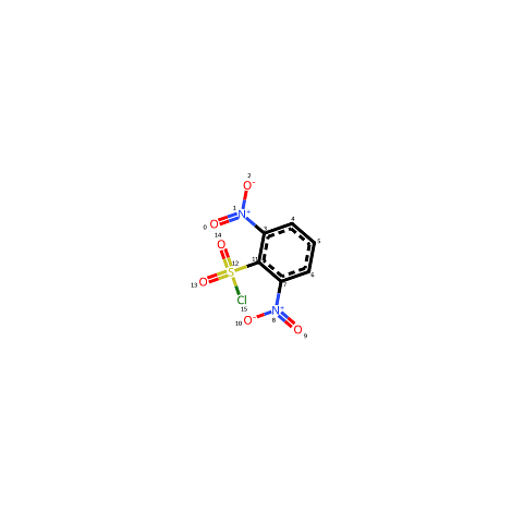 O=[N+]([O-])c1cccc([N+](=O)[O-])c1S(=O)(=O)Cl